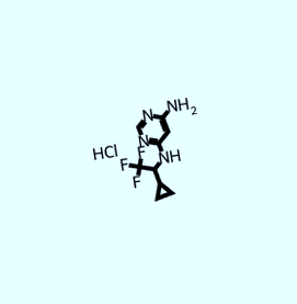 Cl.Nc1cc(NC(C2CC2)C(F)(F)F)ncn1